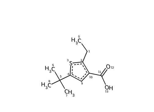 CCc1sc(C(C)(C)C)cc1C(=O)O